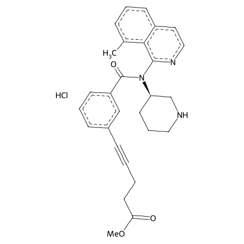 COC(=O)CCC#Cc1cccc(C(=O)N(c2nccc3cccc(C)c23)[C@@H]2CCCNC2)c1.Cl